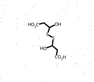 O=C(O)CC(O)SSC(O)CC(=O)O